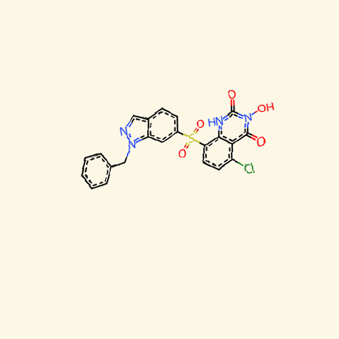 O=c1[nH]c2c(S(=O)(=O)c3ccc4cnn(Cc5ccccc5)c4c3)ccc(Cl)c2c(=O)n1O